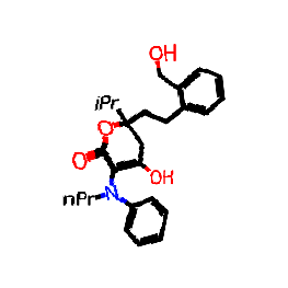 CCCN(C1=C(O)CC(CCc2ccccc2CO)(C(C)C)OC1=O)c1ccccc1